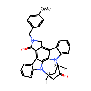 COc1ccc(CN2Cc3c(c4c5ccccc5n5c4c4c3c3ccccc3n4[C@H]3C[C@@H]5CC3=O)C2=O)cc1